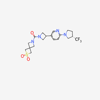 O=C(N1CC(c2ccc(N3CC[C@H](C(F)(F)F)C3)nc2)C1)N1CC2(C1)CS(=O)(=O)C2